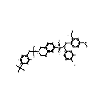 COc1ccc(CN(c2ccc(F)cc2)S(=O)(=O)c2ccc3c(c2)CCN(C(C)(C)Cc2ccc(C(C)(C)C)cc2)C3)c(OC)c1